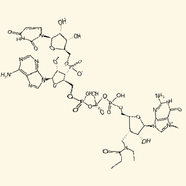 CCC(=O)N(CC)C[C@H]1[C@@H](O)[C@H](n2c[n+](C)c3c(=O)[nH]c(N)nc32)O[C@@H]1COP(=O)(O)OP(=O)(O)OP(=O)(O)OC[C@H]1O[C@@H](n2cnc3c(N)ncnc32)[C@H](OC)[C@@H]1P(=O)([O-])OC[C@H]1O[C@@H](n2ccc(=O)[nH]c2=O)[C@H](O)[C@@H]1O